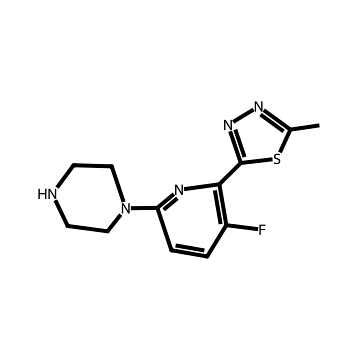 Cc1nnc(-c2nc(N3CCNCC3)ccc2F)s1